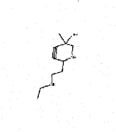 CCNCCC1C#CC(C)(O)CN1